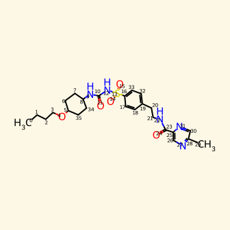 CCCCOC1CCC(NC(=O)NS(=O)(=O)c2ccc(CCNC(=O)c3cnc(C)cn3)cc2)CC1